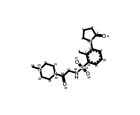 Cc1c(N2CCCC2=O)cccc1S(=O)(=O)NCC(=O)N1CCN(C)CC1